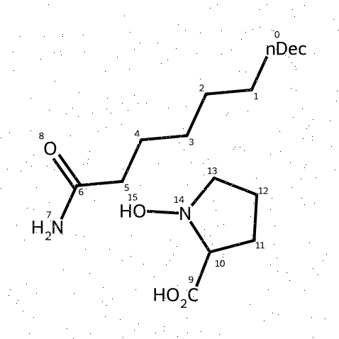 CCCCCCCCCCCCCCCC(N)=O.O=C(O)C1CCCN1O